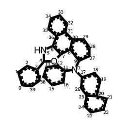 c1ccc(C2Nc3c(c4c(N(c5ccccc5)c5ccc6ccccc6c5)cccc4c4ccccc34)O2)cc1